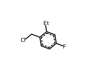 CCc1cc(F)ccc1CCl